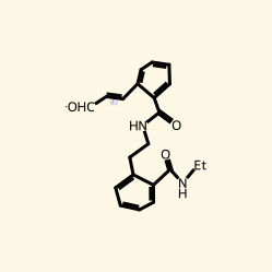 CCNC(=O)c1ccccc1CCNC(=O)c1ccccc1/C=C/[C]=O